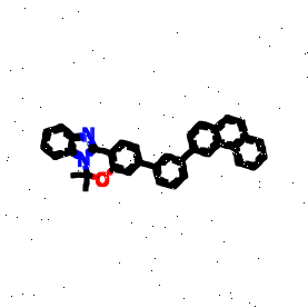 CC1(C)Oc2cc(-c3cccc(-c4ccc5ccc6ccccc6c5c4)c3)ccc2-c2nc3ccccc3n21